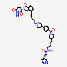 O=C(/C=C/c1cccnc1)NCCCCC1CCN(C(=O)c2ccc(C3CCN(CCCC#Cc4cccc5c4CN(C4CCC(=O)NC4=O)C5=O)CC3)cc2)CC1